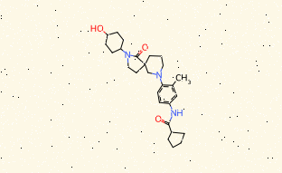 Cc1cc(NC(=O)C2CCCC2)ccc1N1CCCC2(CCN(C3CCC(O)CC3)C2=O)C1